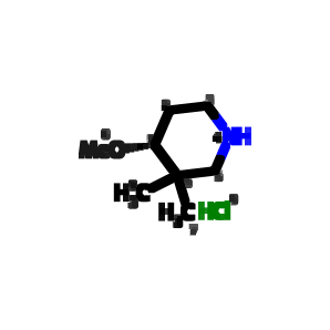 CO[C@@H]1CCNCC1(C)C.Cl